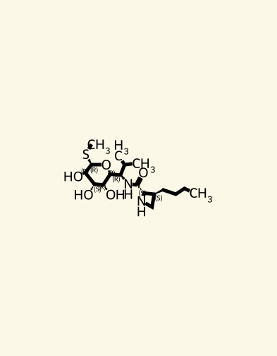 CCCC[C@H]1CN[C@@H]1C(=O)N[C@H](C(C)C)[C@H]1O[C@H](SC)[C@H](O)[C@@H](O)[C@H]1O